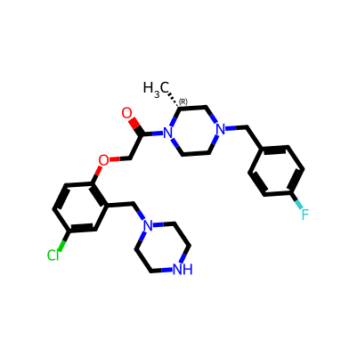 C[C@@H]1CN(Cc2ccc(F)cc2)CCN1C(=O)COc1ccc(Cl)cc1CN1CCNCC1